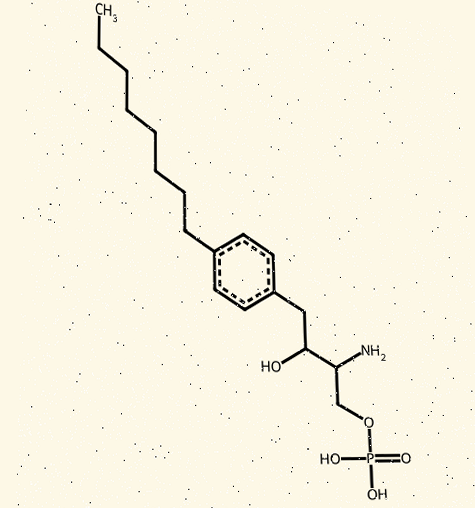 CCCCCCCCc1ccc(CC(O)C(N)COP(=O)(O)O)cc1